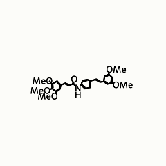 COc1cc(/C=C/c2ccc(NC(=O)/C=C/c3cc(OC)c(OC)c(OC)c3)cc2)cc(OC)c1